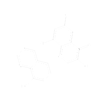 Cc1coc2c(Cl)cc(Cl)cc2c1=O.Oc1cccc2cccnc12